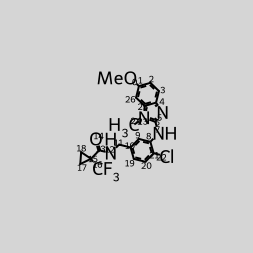 COc1ccc2nc(Nc3cc(CNC(=O)C4(C(F)(F)F)CC4)ccc3Cl)n(C)c2c1